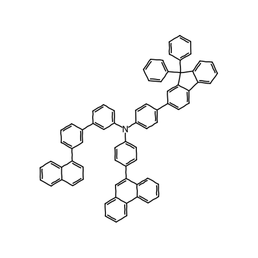 c1ccc(C2(c3ccccc3)c3ccccc3-c3ccc(-c4ccc(N(c5ccc(-c6cc7ccccc7c7ccccc67)cc5)c5cccc(-c6cccc(-c7cccc8ccccc78)c6)c5)cc4)cc32)cc1